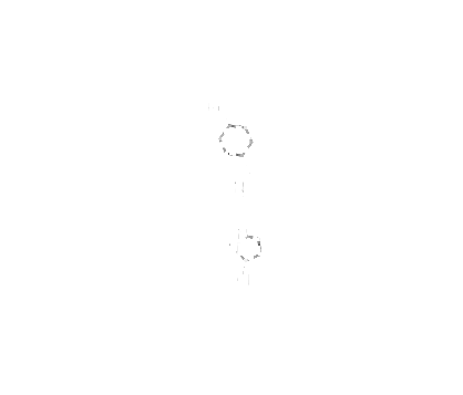 CC(C)(C)c1ccc(CNCCn2ccc(C(F)(F)F)n2)cc1